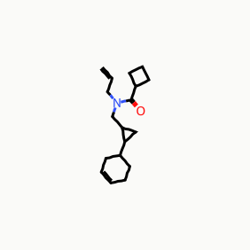 C=CCN(CC1CC1C1CC=CCC1)C(=O)C1CCC1